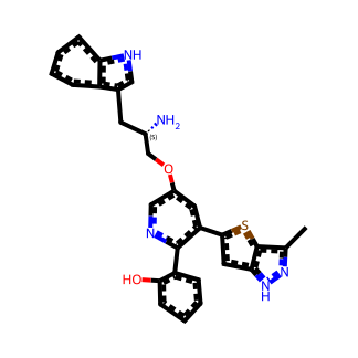 Cc1n[nH]c2cc(-c3cc(OC[C@@H](N)Cc4c[nH]c5ccccc45)cnc3-c3ccccc3O)sc12